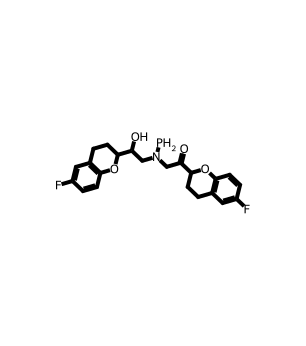 O=C(CN(P)CC(O)C1CCc2cc(F)ccc2O1)C1CCc2cc(F)ccc2O1